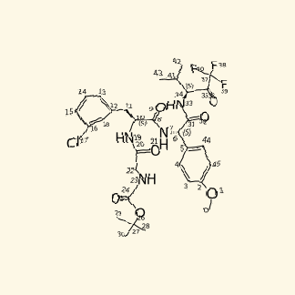 COc1ccc([C@H](NC(=O)[C@H](Cc2cccc(Cl)c2)NC(=O)CNC(=O)OC(C)(C)C)C(=O)N[C@H](C(=O)C(F)(F)F)C(C)C)cc1